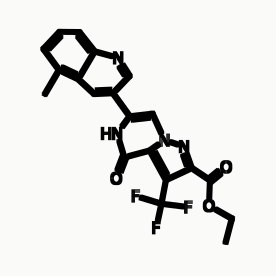 CCOC(=O)c1nn2cc(-c3cnc4cccc(C)c4c3)[nH]c(=O)c2c1C(F)(F)F